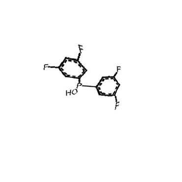 OP(c1cc(F)cc(F)c1)c1cc(F)cc(F)c1